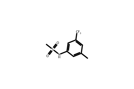 Cc1cc(NS(C)(=O)=O)cc(C(F)(F)F)c1